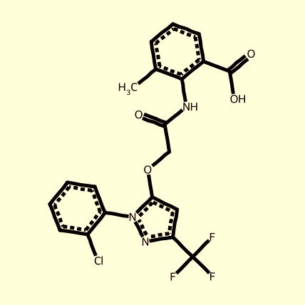 Cc1cccc(C(=O)O)c1NC(=O)COc1cc(C(F)(F)F)nn1-c1ccccc1Cl